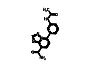 CC(=O)Nc1cccc(-c2ccc(C(N)=O)c3n[c]nn23)c1